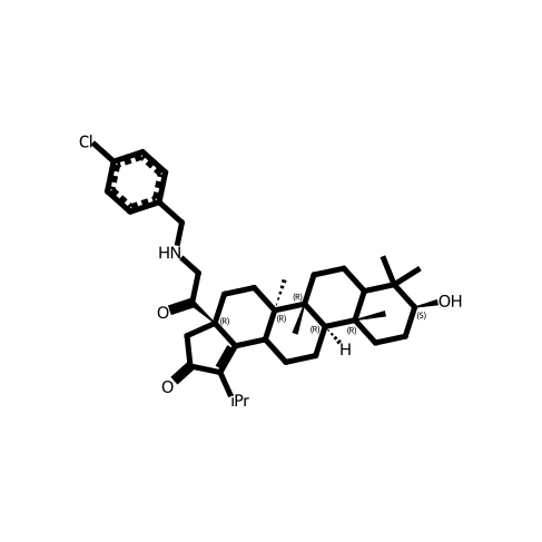 CC(C)C1=C2C3CC[C@@H]4[C@@]5(C)CC[C@H](O)C(C)(C)C5CC[C@@]4(C)[C@]3(C)CC[C@@]2(C(=O)CNCc2ccc(Cl)cc2)CC1=O